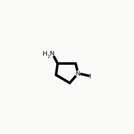 NC1CCN(I)C1